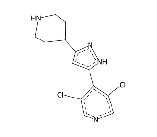 Clc1cncc(Cl)c1-c1cc(C2CCNCC2)n[nH]1